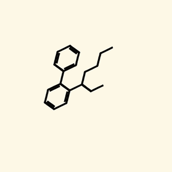 CCCCC(CC)c1ccccc1-c1ccccc1